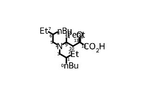 CCCCC(CC)CN(CC(CC)CCCC)C(CC(=O)C(=O)O)C(C)CCC